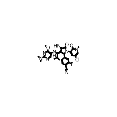 COc1nc(N(C)C)ncc1N/C(=C1\C(=N)C(=O)N(c2cc(Cl)cn(C)c2=O)C1c1ccc(C#N)c(F)c1)C(C)C